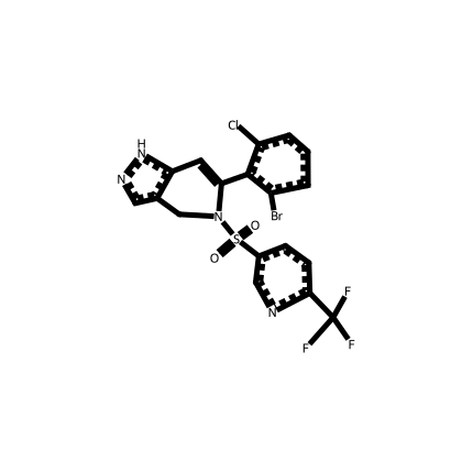 O=S(=O)(c1ccc(C(F)(F)F)nc1)N1Cc2cn[nH]c2C=C1c1c(Cl)cccc1Br